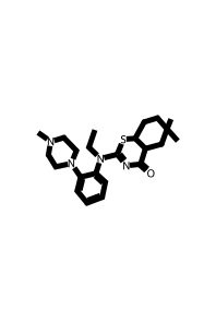 CCN(C1=NC(=O)C2CC(C)(C)CCC2S1)c1ccccc1N1CCN(C)CC1